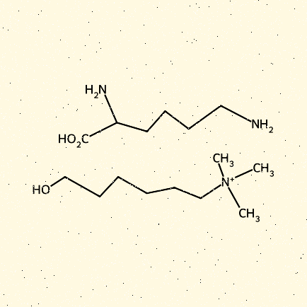 C[N+](C)(C)CCCCCCO.NCCCCC(N)C(=O)O